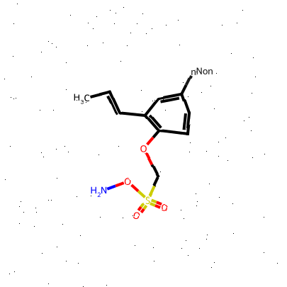 CC=Cc1cc(CCCCCCCCC)ccc1OCS(=O)(=O)ON